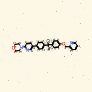 CC(C)C(C)(c1ccc(OCc2ccccn2)cc1)c1ccc(-c2ccc(N3CCOCC3)nc2)cc1